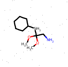 COC(CN)(OC)[SiH2]C1CCCCC1